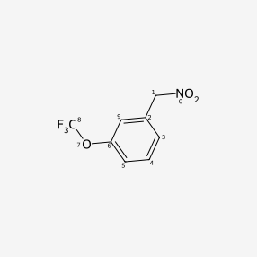 O=[N+]([O-])Cc1cccc(OC(F)(F)F)c1